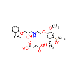 COc1cc([S+](C)[O-])c(C)cc1OCCNCC(O)COc1ccccc1C.O=C(O)C=CC(=O)O